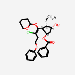 O=C(O)C[C@H]1[C@H](C(OC2CCCCO2)=C(Cl)CCOc2ccccc2)[C@H](OC(=O)c2ccccc2)C[C@H]1O